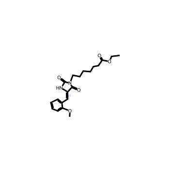 CCOC(=O)CCCCCCN1C(=O)N/C(=C\c2ccccc2OC)C1=O